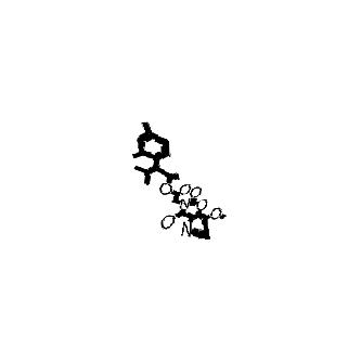 COc1ccnc2c(=O)n(CC(=O)OC(C)C(c3ccc(C)cc3C)C(C)C)c(=O)oc12